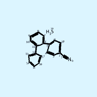 N#Cc1ccc(-c2ccccc2-c2ccccc2)cc1.S